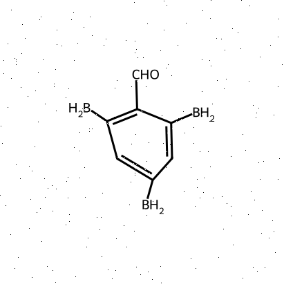 Bc1cc(B)c(C=O)c(B)c1